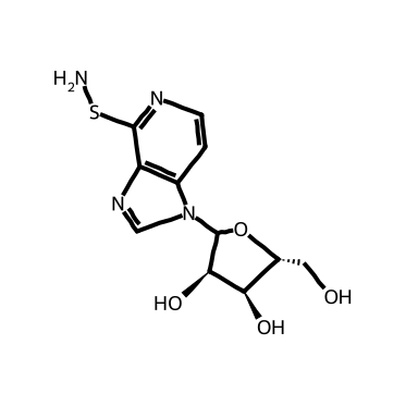 NSc1nccc2c1ncn2C1O[C@H](CO)[C@@H](O)[C@H]1O